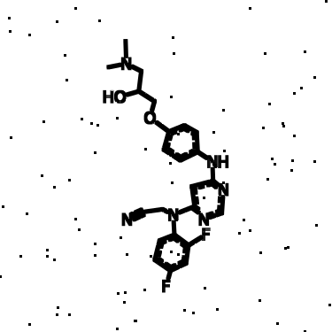 CN(C)CC(O)COc1ccc(Nc2cc(N(CC#N)c3ccc(F)cc3F)ncn2)cc1